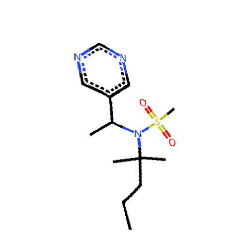 CCCC(C)(C)N(C(C)c1cncnc1)S(C)(=O)=O